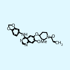 C=CC(=O)N1CCC(Oc2cc3c(Nc4ccc5c(c4)OCO5)ncnc3cc2OC)CC1